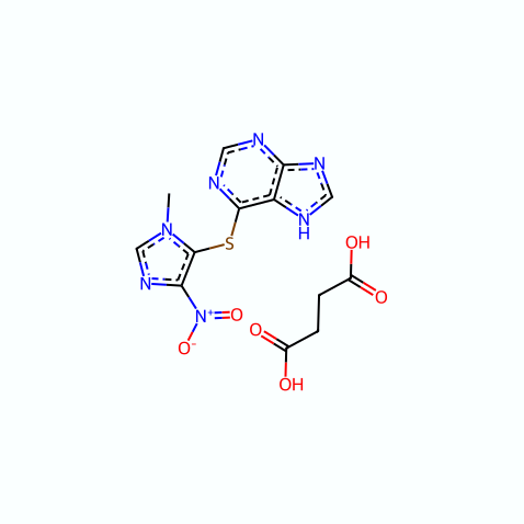 Cn1cnc([N+](=O)[O-])c1Sc1ncnc2nc[nH]c12.O=C(O)CCC(=O)O